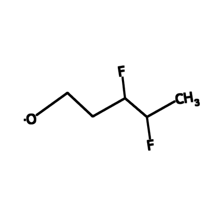 CC(F)C(F)CC[O]